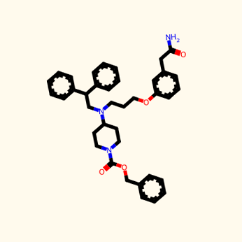 NC(=O)Cc1cccc(OCCCN(CC(c2ccccc2)c2ccccc2)C2CCN(C(=O)OCc3ccccc3)CC2)c1